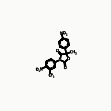 CC1(c2ccc([N+](=O)[O-])cc2)OC(=O)N(c2ccc([N+](=O)[O-])c(C(F)(F)F)c2)C1=O